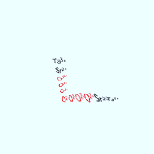 [O-2].[O-2].[O-2].[O-2].[O-2].[O-2].[O-2].[Sr+2].[Sr+2].[Ta+5].[Ta+5]